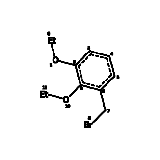 CCOc1cccc(CBr)c1OCC